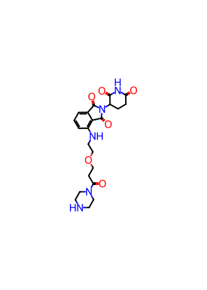 O=C1CCC(N2C(=O)c3cccc(NCCOCCC(=O)N4CCNCC4)c3C2=O)C(=O)N1